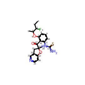 CCC(F)C(C)Oc1cccc(NC(N)=S)c1C(=O)C1(C)Cc2cnccc2O1